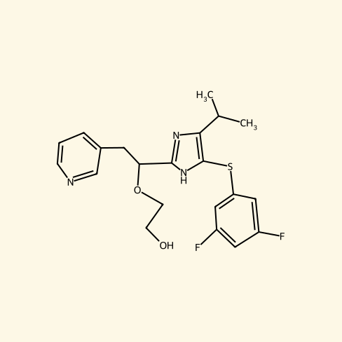 CC(C)c1nc(C(Cc2cccnc2)OCCO)[nH]c1Sc1cc(F)cc(F)c1